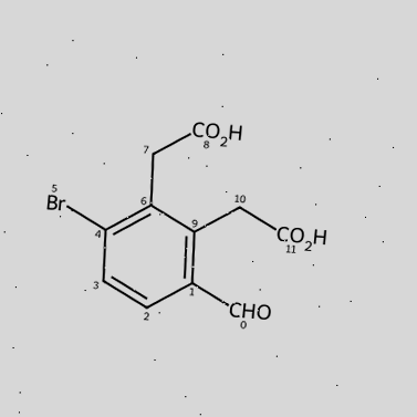 O=Cc1ccc(Br)c(CC(=O)O)c1CC(=O)O